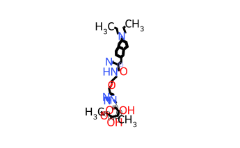 CCCN(CCC)c1ccc2cc(/C=C(\C#N)C(=O)NCCOCc3cn(C[C@H]4O[C@H](OC)[C@H](O)[C@@H](C)[C@@H]4O)nn3)ccc2c1